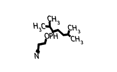 CC(C)CCC(POCCC#N)C(C)C